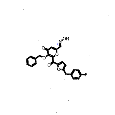 O=C(c1ccc(Cc2ccc(F)cc2)o1)c1oc(/C=N/O)cc(=O)c1OCc1ccccc1